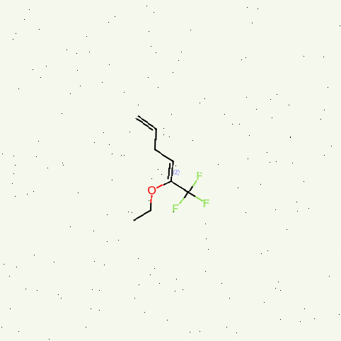 C=CC/C=C(\OCC)C(F)(F)F